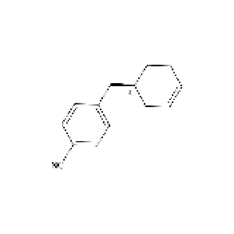 N#Cc1ccc(C[C@@H]2CC=CCC2)cc1